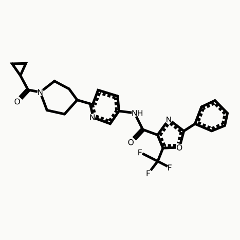 O=C(Nc1ccc(C2CCN(C(=O)C3CC3)CC2)nc1)c1nc(-c2ccccc2)oc1C(F)(F)F